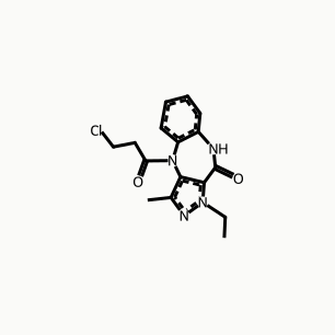 CCn1nc(C)c2c1C(=O)Nc1ccccc1N2C(=O)CCCl